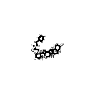 CC1=C2C[C@H]3[C@@H](CC[C@@H]4CC(=O)CC[C@@]43C)[C@@H]2CC[C@]12O[C@@H]1C[C@H](C)CN(CC(=O)N(C)CCc3ccccc3)[C@H]1[C@H]2C